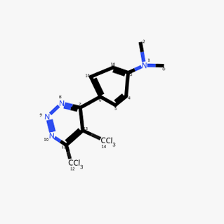 CN(C)c1ccc(-c2nnnc(C(Cl)(Cl)Cl)c2C(Cl)(Cl)Cl)cc1